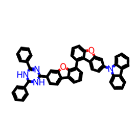 C1=c2oc3c(-c4cccc5oc6cc(-n7c8ccccc8c8ccccc87)ccc6c45)cccc3c2=CCC1C1N=C(c2ccccc2)NC(c2ccccc2)N1